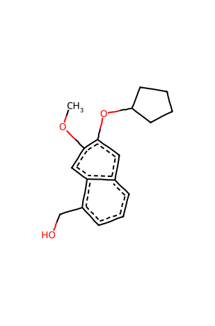 COc1cc2c(CO)cccc2cc1OC1CCCC1